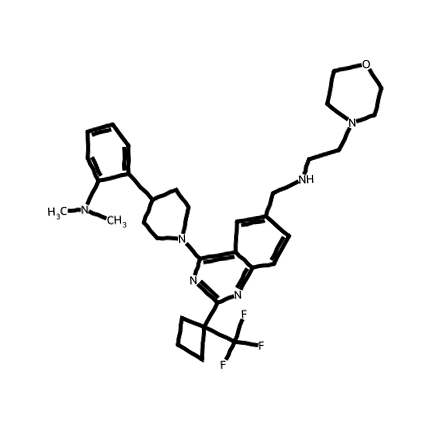 CN(C)c1ccccc1C1CCN(c2nc(C3(C(F)(F)F)CCC3)nc3ccc(CNCCN4CCOCC4)cc23)CC1